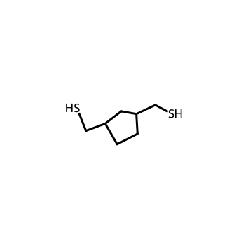 SCC1CCC(CS)C1